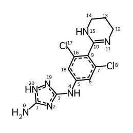 Nc1nc(Nc2cc(Cl)c(C3=NCCCN3)c(Cl)c2)n[nH]1